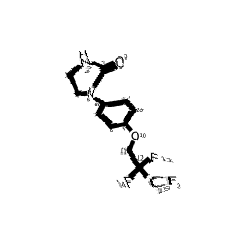 O=C1NC[CH]N1c1ccc(OCC(F)(F)C(F)(F)F)cc1